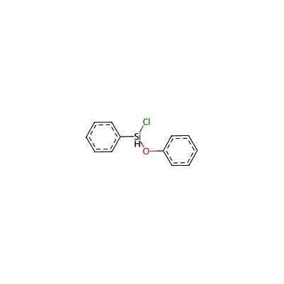 Cl[SiH](Oc1ccccc1)c1ccccc1